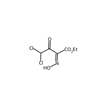 CCOC(=O)C(=NO)C(=O)C(Cl)Cl